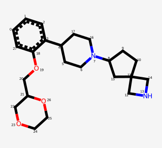 c1ccc(C2CCN(C3CCC4(CNC4)C3)CC2)c(OCC2COCCO2)c1